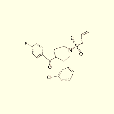 C=CCS(=O)(=O)N1CCC(C(=O)c2ccc(F)cc2)CC1.Clc1ccccc1